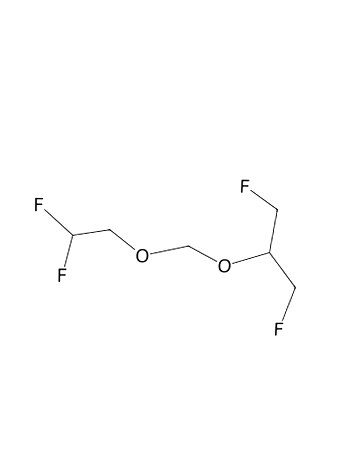 FCC(CF)OCOCC(F)F